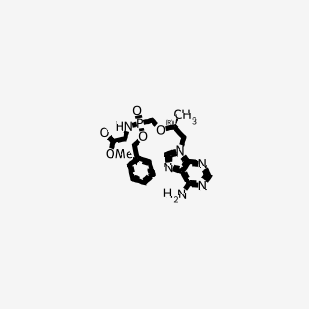 COC(=O)CNP(=O)(CO[C@H](C)Cn1cnc2c(N)ncnc21)OCc1ccccc1